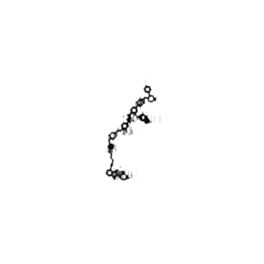 CC1(C)CCC(CN2CCN(c3ccc(C(=O)NS(=O)(=O)c4ccc(NCC5CCN(Cc6cnn(CCCCC#Cc7cccc8c7C(=O)N(C7CCC(=O)NC7=O)C8=O)c6)CC5)c([N+](=O)[O-])c4)c(Oc4cnc5[nH]ccc5c4)c3)CC2)=C(c2ccc(Cl)cc2)C1